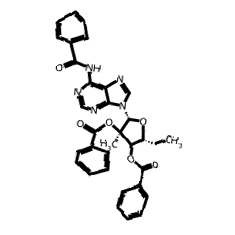 CC[C@H]1O[C@@H](n2cnc3c(NC(=O)c4ccccc4)ncnc32)[C@](C)(OC(=O)c2ccccc2)C1OC(=O)c1ccccc1